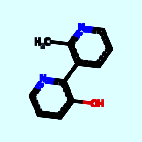 Cc1ncccc1-c1ncccc1O